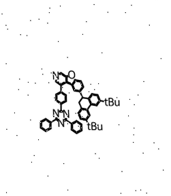 CC(C)(C)c1ccc2c(c1)-c1cc(C(C)(C)C)ccc1C(c1ccc3oc4cncc(-c5ccc(-c6nc(-c7ccccc7)nc(-c7ccccc7)n6)cc5)c4c3c1)C2